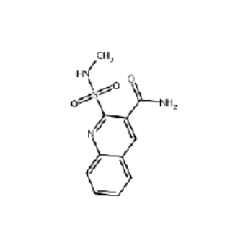 CNS(=O)(=O)c1nc2ccccc2cc1C(N)=O